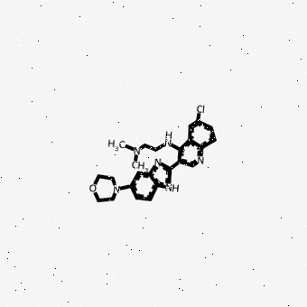 CN(C)CCNc1c(-c2nc3cc(N4CCOCC4)ccc3[nH]2)cnc2ccc(Cl)cc12